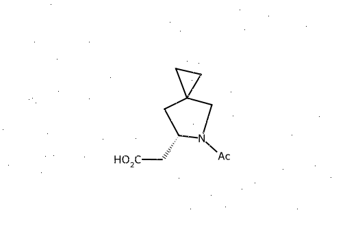 CC(=O)N1CC2(CC2)C[C@H]1CC(=O)O